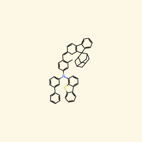 Cc1cc(N(c2cccc(-c3ccccc3)c2)c2cccc3c2sc2ccccc23)ccc1/C=C1/C=CC2=C(C1)C1(c3ccccc32)C2CC3CC(C2)CC1C3